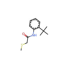 CSCC(=O)Nc1ccccc1C(C)(C)C